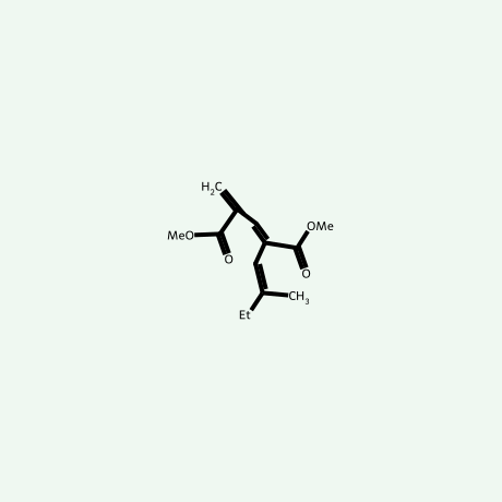 C=C(/C=C(\C=C(/C)CC)C(=O)OC)C(=O)OC